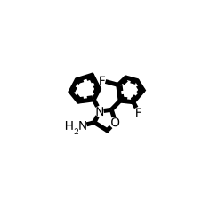 NC1COC(c2c(F)cccc2F)N1c1ccccc1